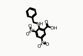 O=C(O)c1cc([N+](=O)[O-])cc([N+](=O)[O-])c1NCc1ccccc1